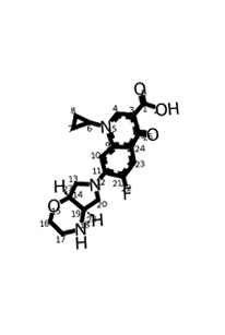 O=C(O)c1cn(C2CC2)c2cc(N3C[C@@H]4OCCN[C@@H]4C3)c(F)cc2c1=O